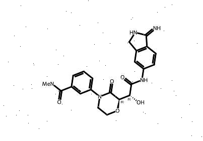 CNC(=O)c1cccc(N2CCO[C@H]([C@@H](O)C(=O)Nc3ccc4c(c3)CNC4=N)C2=O)c1